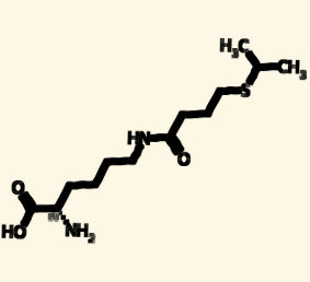 CC(C)SCCCC(=O)NCCCC[C@H](N)C(=O)O